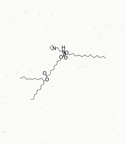 CCCCCCCCCCCCCOP(=O)(NCCN1CCC1)OCCCCCCCC(=O)OC(CCCCCCCC)CCCCCCCC